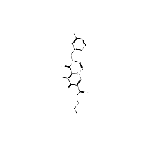 CCCNC(=O)c1cn2ccn(Cc3cccc(Cl)c3)c(=O)c2c(O)c1=O